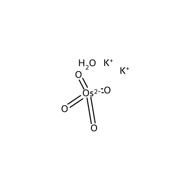 O.[K+].[K+].[O]=[Os-2](=[O])(=[O])=[O]